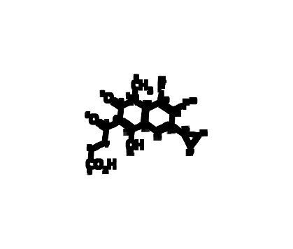 Cn1c(=O)c(C(=O)CCC(=O)O)c(O)c2cc(C3CC3)c(F)c(F)c21